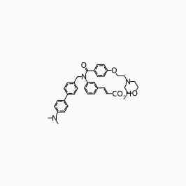 CN(C)c1ccc(-c2ccc(CN(C(=O)c3ccc(OCCN4CCOCC4)cc3)c3cccc(C=CC(=O)O)c3)cc2)cc1